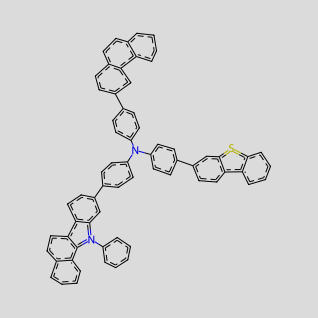 c1ccc(-n2c3cc(-c4ccc(N(c5ccc(-c6ccc7c(c6)sc6ccccc67)cc5)c5ccc(-c6ccc7ccc8ccccc8c7c6)cc5)cc4)ccc3c3ccc4ccccc4c32)cc1